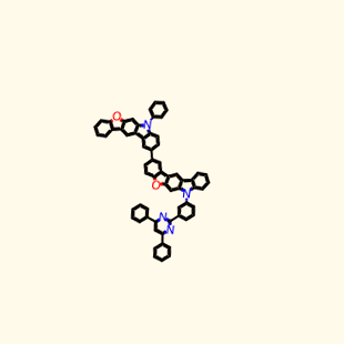 c1ccc(-c2cc(-c3ccccc3)nc(-c3cccc(-n4c5ccccc5c5cc6c(cc54)oc4ccc(-c5ccc7c(c5)c5cc8c(cc5n7-c5ccccc5)oc5ccccc58)cc46)c3)n2)cc1